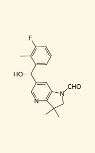 Cc1c(F)cccc1C(O)c1cnc2c(c1)N(C=O)CC2(C)C